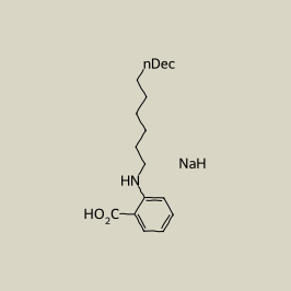 CCCCCCCCCCCCCCCCNc1ccccc1C(=O)O.[NaH]